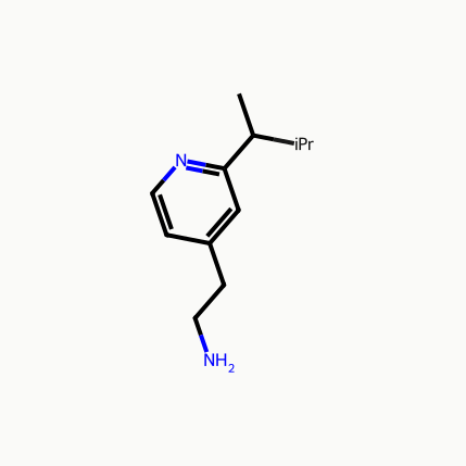 CC(C)C(C)c1cc(CCN)ccn1